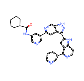 O=C(Nc1cncc(-c2cc3c(-c4cc5c(-c6cccnc6)nccc5[nH]4)n[nH]c3cn2)c1)C1CCCCC1